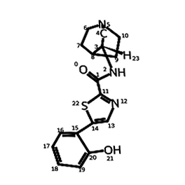 O=C(N[C@H]1CN2CCC1CC2)c1ncc(-c2ccccc2O)s1